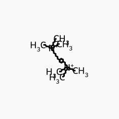 CCCCCC[N+](CCCCC)(CCCCC)CCCCCCCc1ccc(CCC[N+](CCCCC)(CCCCC)CCCCCC)cc1